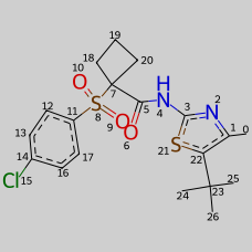 Cc1nc(NC(=O)C2(S(=O)(=O)c3ccc(Cl)cc3)CCC2)sc1C(C)(C)C